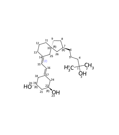 CC(C)(O)CCC[C@@H]1CC[C@]2(CCC/C(=C/C=C3C[C@@H](O)C[C@H](O)C3)C2)C1